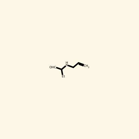 C=CCNC(C=O)CC